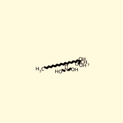 CCCCCCCCCCCCCCCCCCC(C)(O)C(=O)O.OCCNCCO